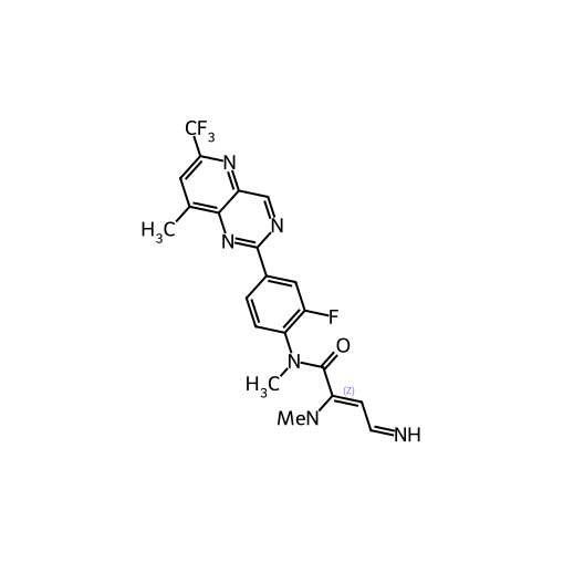 CN/C(=C\C=N)C(=O)N(C)c1ccc(-c2ncc3nc(C(F)(F)F)cc(C)c3n2)cc1F